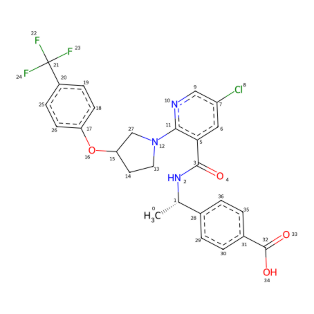 C[C@H](NC(=O)c1cc(Cl)cnc1N1CCC(Oc2ccc(C(F)(F)F)cc2)C1)c1ccc(C(=O)O)cc1